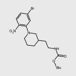 CC(C)(C)OC(=O)NCCC1CCCN(c2cc(Br)ccc2[N+](=O)[O-])C1